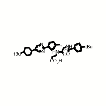 CC(C)(C)c1ccc(C(=O)N[C@@H](Cc2ccc(-c3ncc(C4CCC(C(C)(C)C)CC4)cn3)cc2)C(=O)NCCC(=O)O)cc1